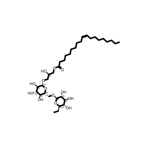 CCCCCCCC/C=C\CCCCCCCCC(=O)OC[C@H](O)CO[C@@H]1O[C@H](CO[C@@H]2O[C@H](CC)[C@@H](O)[C@H](O)[C@H]2O)[C@@H](O)[C@H](O)[C@H]1O